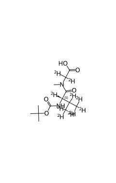 [2H]C([2H])(C(=O)O)N(C)C(=O)[C@@]([2H])(NC(=O)OC(C)(C)C)C([2H])(C([2H])([2H])[2H])C([2H])([2H])[2H]